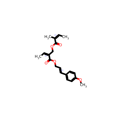 C/C=C(/C)C(=O)OC/C(=C/C)C(=O)OC/C=C/c1ccc(OC)cc1